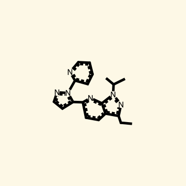 CCc1nn(C(C)C)c2nc(-c3ccnn3-c3ccccn3)ccc12